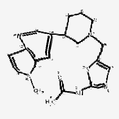 CC(=O)Nc1ncc(CN2CCCC(c3cnc4ccn(C)c4c3)C2)s1